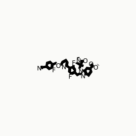 COC(=O)c1ccc2nc(Cc3cc(F)c(-c4cccc(OCc5ccc(C#N)cc5F)n4)cc3F)n(CC3(C)CN(C)C3=O)c2c1